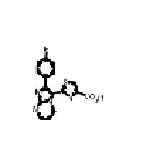 O=C(O)c1csc(-c2c(-c3ccc(F)cc3)nc3ncccn23)n1